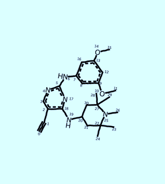 C#Cc1cnc(Nc2cc(OC)cc(OC)c2)nc1NC1CC(C)(C)N(C)C(C)(C)C1